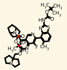 Cc1ccc2sc(NC(=O)OC(C)(C)C)nc2c1-c1ncc2c(N3CC4CCC(C3)N4C(=O)OC(C)(C)C)nc(OCC34CCCN3CCC4)nc2c1F